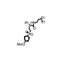 CCN(CC)CCNC(=O)N(CCS(=O)(=O)c1ccc(OC)cc1)C(C)C